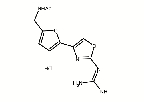 CC(=O)NCc1ccc(-c2coc(N=C(N)N)n2)o1.Cl